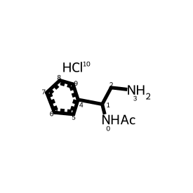 CC(=O)NC(CN)c1ccccc1.Cl